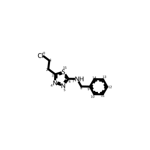 ClCCc1nnc(NCc2ccccc2)s1